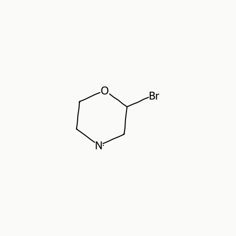 BrC1C[N]CCO1